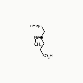 CCCCCCCCCCCS(=O)(=O)O.CNC